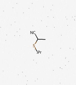 CC(C)SC(C)C#N